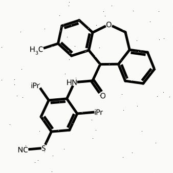 Cc1ccc2c(c1)C(C(=O)Nc1c(C(C)C)cc(SC#N)cc1C(C)C)c1ccccc1CO2